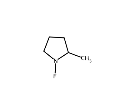 CC1CCCN1F